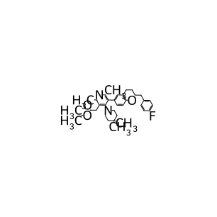 Cc1nc(C)c(-c2ccc3c(c2)CCC(Cc2ccc(F)cc2)O3)c(N2CCC(C)(C)CC2)c1CC(=O)OC(C)C